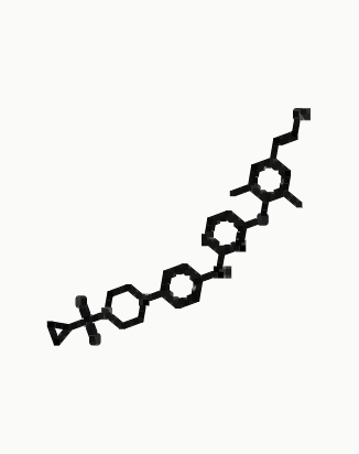 Cc1cc(/C=C/C#N)cc(C)c1Oc1ccnc(Nc2ccc(N3CCN(S(=O)(=O)C4CC4)CC3)cc2)n1